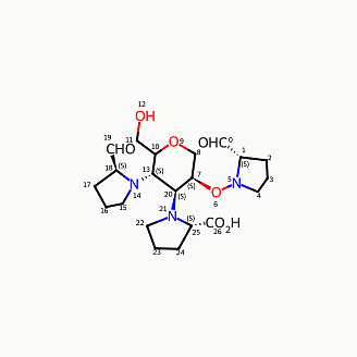 O=C[C@@H]1CCCN1O[C@@H]1COC(CO)[C@@H](N2CCC[C@H]2C=O)[C@@H]1N1CCC[C@H]1C(=O)O